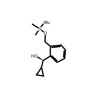 CC(C)(C)[Si](C)(C)OCc1ccccc1[C@H](O)C1CC1